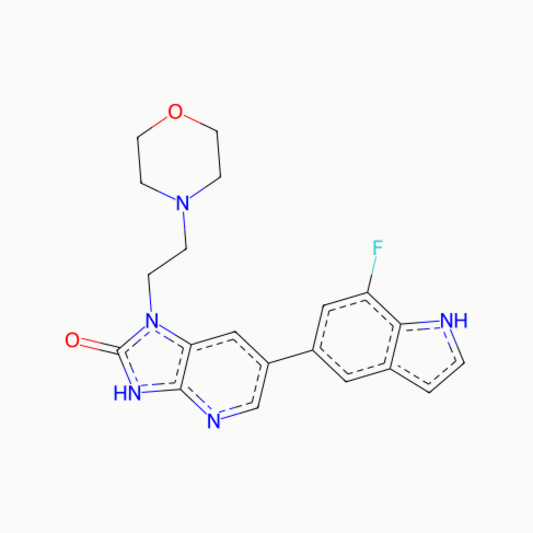 O=c1[nH]c2ncc(-c3cc(F)c4[nH]ccc4c3)cc2n1CCN1CCOCC1